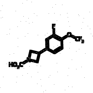 O=C(O)N1CC(c2ccc(OC(F)(F)F)c(F)c2)C1